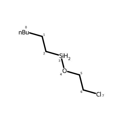 CCCCCC[SiH2]OCCCl